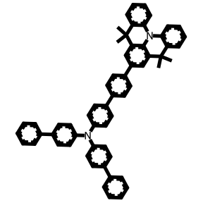 CC1(C)c2ccccc2N2c3ccccc3C(C)(C)c3cc(-c4ccc(-c5ccc(N(c6ccc(-c7ccccc7)cc6)c6ccc(-c7ccccc7)cc6)cc5)cc4)cc1c32